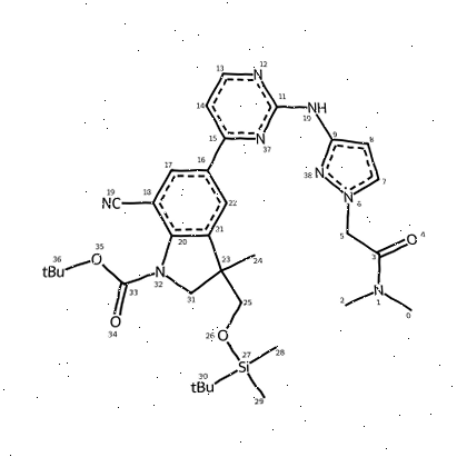 CN(C)C(=O)Cn1ccc(Nc2nccc(-c3cc(C#N)c4c(c3)C(C)(CO[Si](C)(C)C(C)(C)C)CN4C(=O)OC(C)(C)C)n2)n1